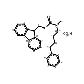 CN(C(=O)OCC1c2ccccc2-c2ccccc21)[C@@H](CCCc1ccccc1)C(=O)O